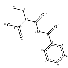 CCC(C(=O)OC(=O)c1ccccc1)[N+](=O)[O-]